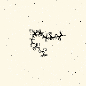 C=C(C)C(=O)OCC(=O)NC(C)COCC(CC)(CCCC)CC(C)(C)OCC(C)(C)NC(=O)COC(=O)C(=C)C